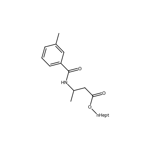 CCCCCCCOC(=O)CC(C)NC(=O)c1cccc(C)c1